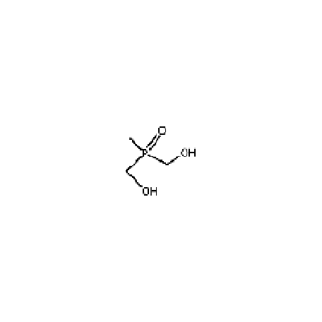 CP(=O)(CO)CO